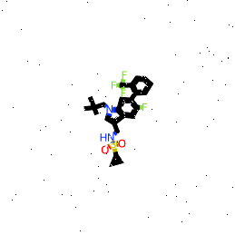 CC(C)(C)Cn1cc(CNS(=O)(=O)C2CC2)c2cc(F)c(-c3ccccc3C(F)(F)F)cc21